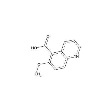 COc1ccc2ncccc2c1C(=O)O